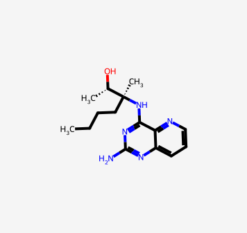 CCCC[C@](C)(Nc1nc(N)nc2cccnc12)[C@H](C)O